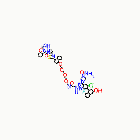 CN[C@@H](C)C(=O)NC(C(=O)N1CCC[C@H]1c1nc(-c2ccc(OCCOCCOCCOCCN(C)C(=O)CCNc3nc(N4CCN(C(N)=O)CC4)c4cc(Cl)c(-c5cc(O)cc6ccccc56)c(F)c4n3)c3ccccc23)cs1)C1CCCCC1